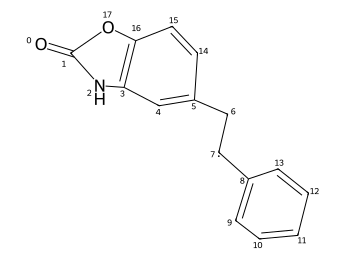 O=c1[nH]c2cc(C[CH]c3ccccc3)ccc2o1